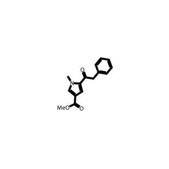 COC(=O)c1cc(C(=O)Cc2ccccc2)n(C)c1